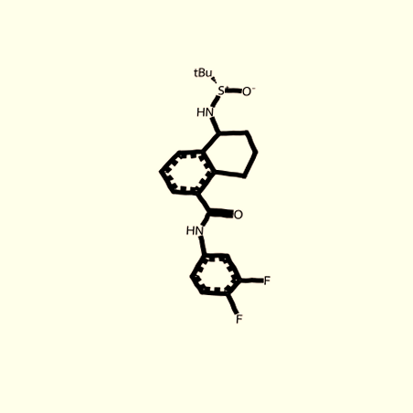 CC(C)(C)[S@+]([O-])NC1CCCc2c(C(=O)Nc3ccc(F)c(F)c3)cccc21